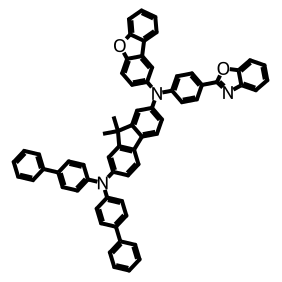 CC1(C)c2cc(N(c3ccc(-c4ccccc4)cc3)c3ccc(-c4ccccc4)cc3)ccc2-c2ccc(N(c3ccc(-c4nc5ccccc5o4)cc3)c3ccc4oc5ccccc5c4c3)cc21